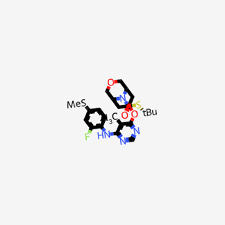 CSc1ccc(Nc2ncnc(OC3CC4COCC(C3)N4C(=O)SC(C)(C)C)c2C)c(F)c1